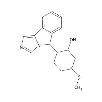 CSN1CCC(C2c3ccccc3-c3cncn32)C(O)C1